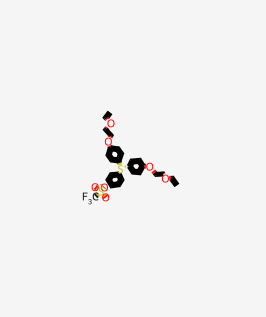 C=COCCOc1ccc([S+](c2ccccc2)c2ccc(OCCOC=C)cc2)cc1.O=S(=O)([O-])C(F)(F)F